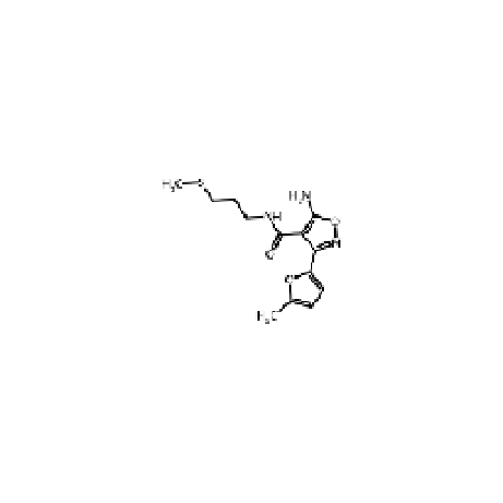 CSCCCNC(=O)c1c(-c2ccc(C)o2)noc1N